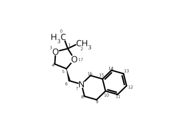 CC1(C)OC[C@H](CN2CCc3ccccc3C2)O1